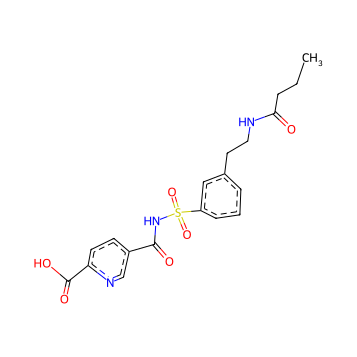 CCCC(=O)NCCc1cccc(S(=O)(=O)NC(=O)c2ccc(C(=O)O)nc2)c1